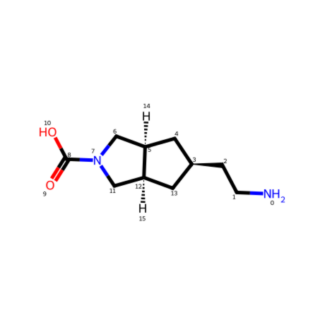 NCC[C@@H]1C[C@@H]2CN(C(=O)O)C[C@@H]2C1